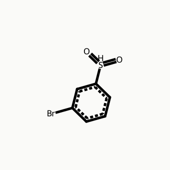 O=[SH](=O)c1cccc(Br)c1